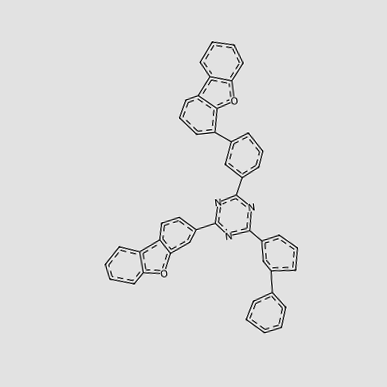 c1ccc(-c2cccc(-c3nc(-c4cccc(-c5cccc6c5oc5ccccc56)c4)nc(-c4ccc5c(c4)oc4ccccc45)n3)c2)cc1